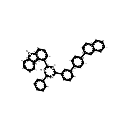 c1ccc(-c2nc(-c3cccc(-c4ccc(-c5ccc6ccccc6c5)cc4)c3)nc(-c3cccc4oc5ccccc5c34)n2)cc1